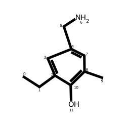 CCc1cc(CN)cc(C)c1O